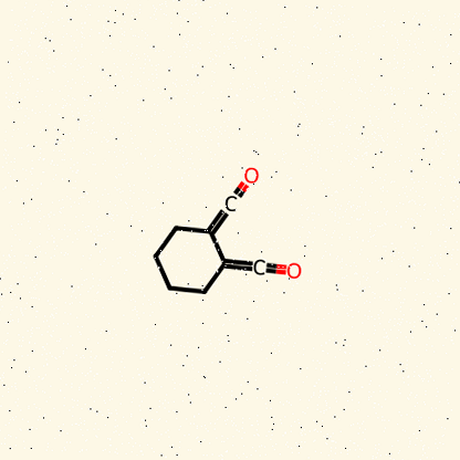 O=C=C1CCCCC1=C=O